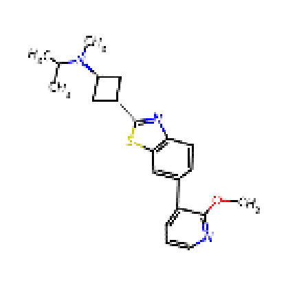 COc1ncccc1-c1ccc2nc([C@H]3C[C@H](N(C)C(C)C)C3)sc2c1